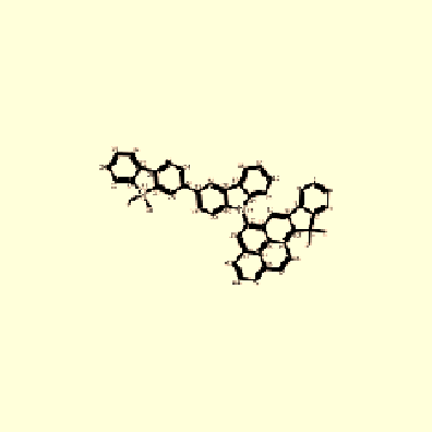 CC1(C)c2ccccc2-c2cc3c(-n4c5ccccc5c5cc(-c6ccc7c(c6)[Si](C)(C)c6ccccc6-7)ccc54)cc4cccc5ccc(c21)c3c54